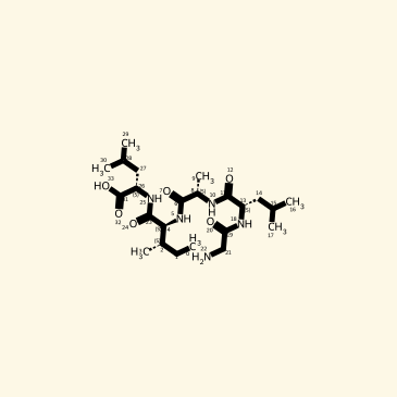 CC[C@H](C)[C@H](NC(=O)[C@H](C)NC(=O)[C@H](CC(C)C)NC(=O)CN)C(=O)N[C@@H](CC(C)C)C(=O)O